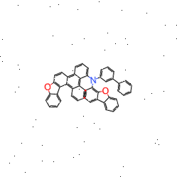 c1ccc(-c2cccc(N(c3cccc4c3oc3ccccc34)c3cccc4c5ccc6oc7ccccc7c6c5c5ccccc5c34)c2)cc1